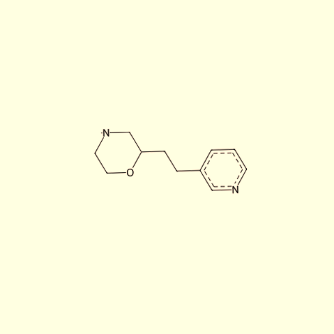 c1cncc(CCC2C[N]CCO2)c1